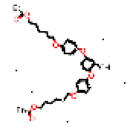 CCC(=O)OCCCCCCOc1ccc(Oc2ccc(Oc3ccc(OCCCCCCOC(=O)CC)cc3)c(C)c2)cc1